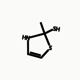 CC1(S)NC=CS1